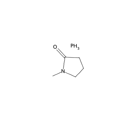 CN1CCCC1=O.P